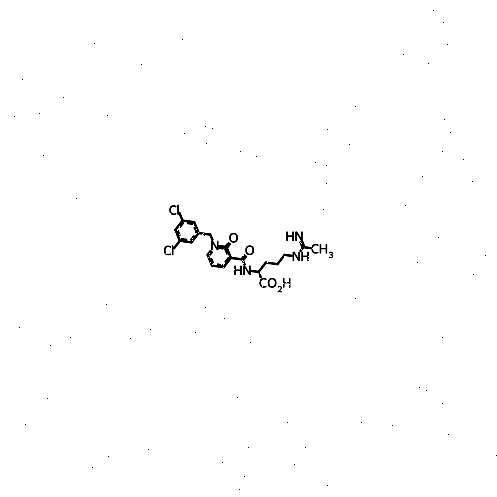 CC(=N)NCCC[C@H](NC(=O)c1cccn(Cc2cc(Cl)cc(Cl)c2)c1=O)C(=O)O